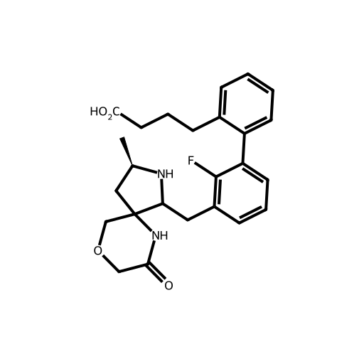 C[C@@H]1CC2(COCC(=O)N2)C(Cc2cccc(-c3ccccc3CCCC(=O)O)c2F)N1